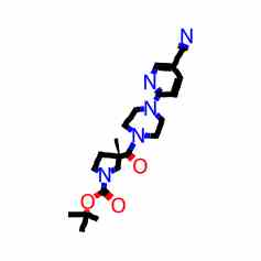 CC(C)(C)OC(=O)N1CC[C@](C)(C(=O)N2CCN(c3ccc(C#N)cn3)CC2)C1